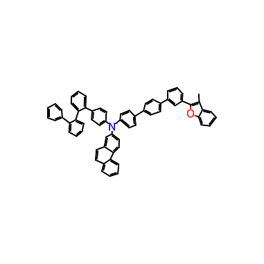 Cc1c(-c2cccc(-c3ccc(-c4ccc(N(c5ccc(-c6ccccc6-c6ccccc6-c6ccccc6)cc5)c5ccc6c(ccc7ccccc76)c5)cc4)cc3)c2)oc2ccccc12